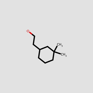 CC1(C)CCCC(CC[O])C1